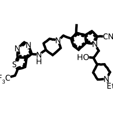 CCN1CCC(C(O)Cn2c(C#N)cc3c(C)c(CN4CCC(Nc5ncnc6sc(CC(F)(F)F)cc56)CC4)ccc32)CC1